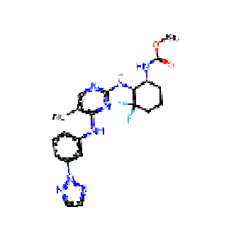 CC(C)(C)OC(=O)N[C@H]1CCCC(F)(F)[C@H]1Nc1ncc(C#N)c(Nc2cccc(-n3nccn3)c2)n1